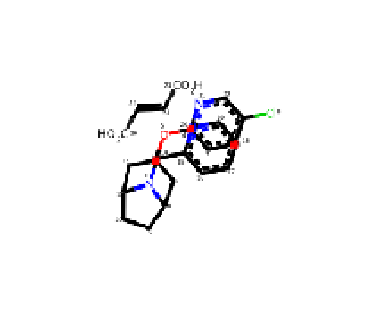 Clc1ccc(OC2CC3CCC(C2)N3Cc2ccccn2)nc1.O=C(O)C=CC(=O)O